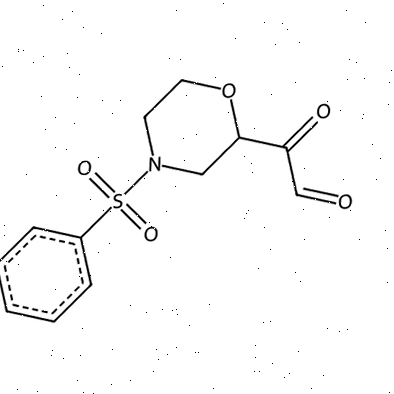 O=CC(=O)C1CN(S(=O)(=O)c2ccccc2)CCO1